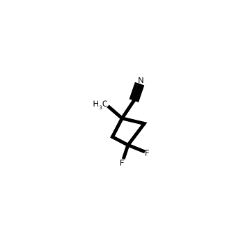 CC1(C#N)CC(F)(F)C1